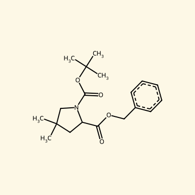 CC1(C)CC(C(=O)OCc2ccccc2)N(C(=O)OC(C)(C)C)C1